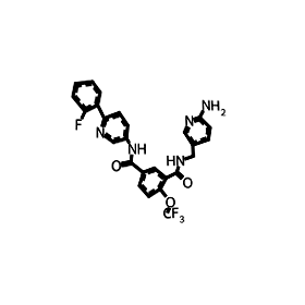 Nc1ccc(CNC(=O)c2cc(C(=O)Nc3ccc(-c4ccccc4F)nc3)ccc2OC(F)(F)F)cn1